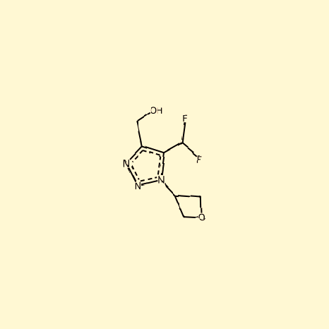 OCc1nnn(C2COC2)c1C(F)F